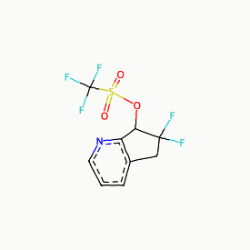 O=S(=O)(OC1c2ncccc2CC1(F)F)C(F)(F)F